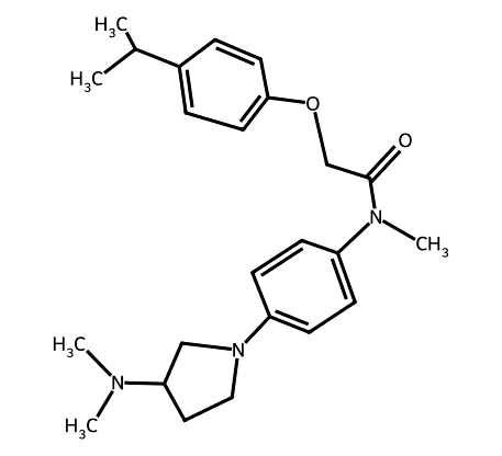 CC(C)c1ccc(OCC(=O)N(C)c2ccc(N3CCC(N(C)C)C3)cc2)cc1